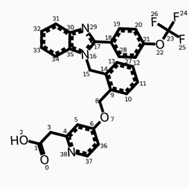 O=C(O)Cc1cc(OCc2ccccc2Cn2c(-c3ccc(OC(F)(F)F)cc3)nc3ccccc32)ccn1